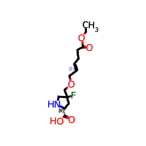 CCOC(=O)CC/C=C/COCC1(F)CN[C@@H](C(=O)O)C1